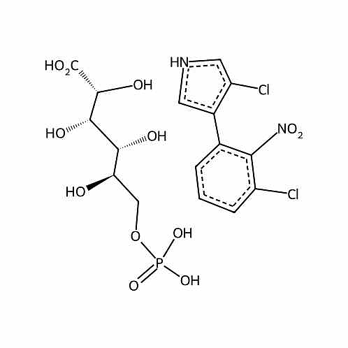 O=C(O)[C@H](O)[C@@H](O)[C@H](O)[C@H](O)COP(=O)(O)O.O=[N+]([O-])c1c(Cl)cccc1-c1c[nH]cc1Cl